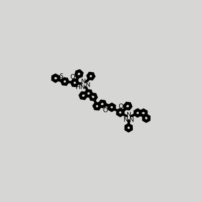 c1ccc(C2=NC(c3ccc(-c4ccc5c(c4)sc4ccccc45)c4oc5ccccc5c34)NC(c3cc4ccc(-c5cccc6c5ccc5c7ccc(-c8ccc(-c9nc(-c%10ccccc%10)nc(-c%10ccc%11ccc%12ccccc%12c%11c%10)n9)c9c8oc8ccccc89)cc7oc65)cc4c4ccccc34)=N2)cc1